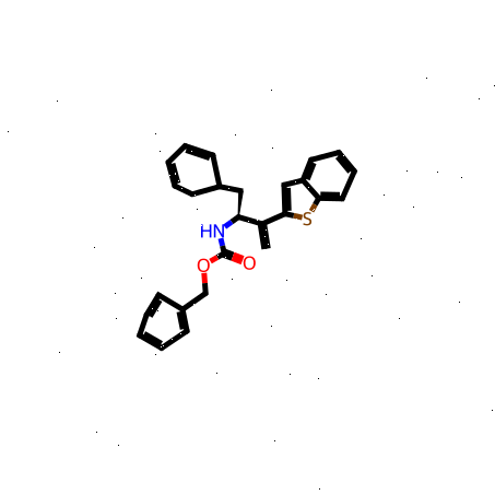 C=C(c1cc2ccccc2s1)[C@H](CC1C=CC=CC1)NC(=O)OCc1ccccc1